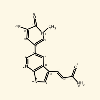 Cn1cc(-c2cnc3[nH]cc(/C=C/C(N)=O)c3c2)cc(F)c1=O